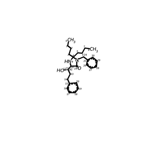 CCCCC1(CCCC)NC([C@H](O)CCc2ccccc2)C(=O)N1Cc1ccccc1